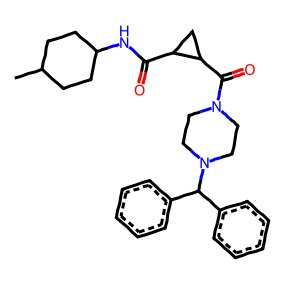 CC1CCC(NC(=O)C2CC2C(=O)N2CCN(C(c3ccccc3)c3ccccc3)CC2)CC1